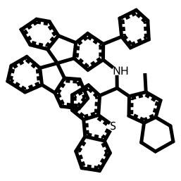 Cc1cc2c(cc1C(Nc1cc3c(cc1-c1ccccc1)-c1ccccc1C31c3ccccc3-c3ccccc31)c1cccc3c1sc1ccccc13)CCCC2